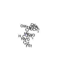 CCC(F)(F)c1cccc(NC(=O)C(C)/C(C)=N\N(C=O)c2ccc(OC)c(B3OC(C)(C)C(C)(C)O3)c2)c1